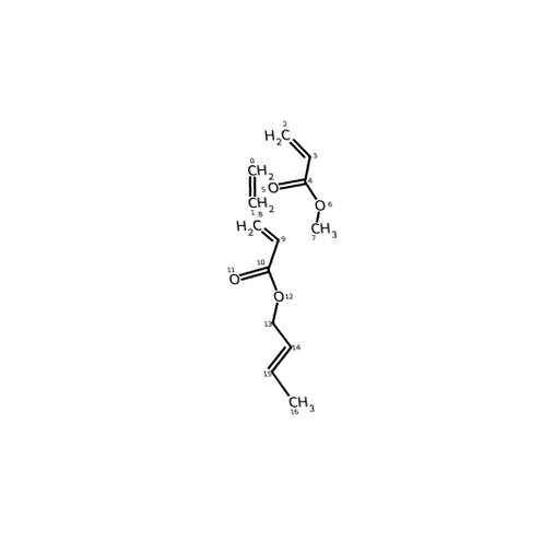 C=C.C=CC(=O)OC.C=CC(=O)OCC=CC